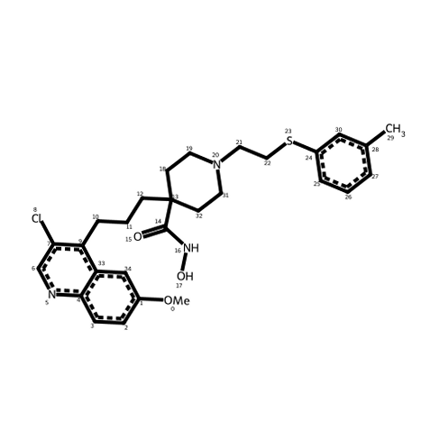 COc1ccc2ncc(Cl)c(CCCC3(C(=O)NO)CCN(CCSc4cccc(C)c4)CC3)c2c1